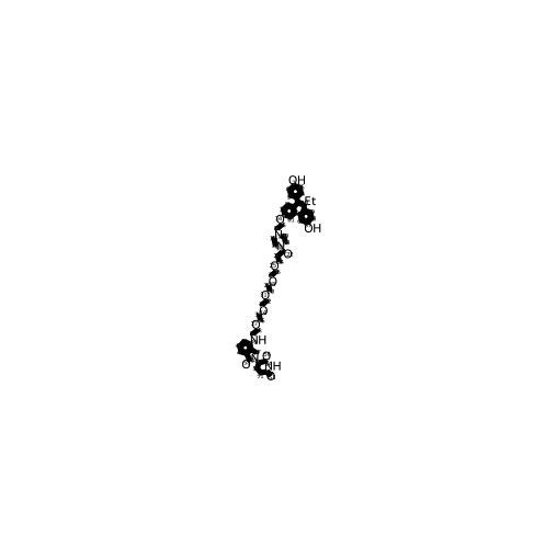 CCC(=C(c1ccc(O)cc1)c1ccc(OCCN2CCN(C(=O)CCOCCOCCOCCOCCOCCNc3cccc4c3CN(C3CCC(=O)NC3=O)C4=O)CC2)cc1)c1ccc(O)cc1